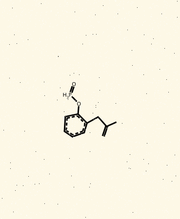 C=C(C)Cc1ccccc1O[PH2]=O